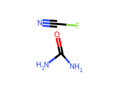 N#CF.NC(N)=O